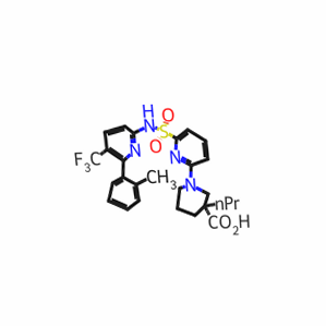 CCCC1(C(=O)O)CCCN(c2cccc(S(=O)(=O)Nc3ccc(C(F)(F)F)c(-c4ccccc4C)n3)n2)C1